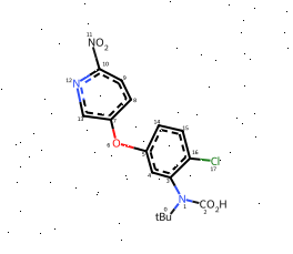 CC(C)(C)N(C(=O)O)c1cc(Oc2ccc([N+](=O)[O-])nc2)ccc1Cl